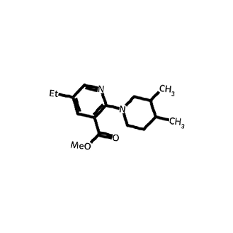 CCc1cnc(N2CCC(C)C(C)C2)c(C(=O)OC)c1